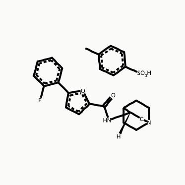 Cc1ccc(S(=O)(=O)O)cc1.O=C(N[C@H]1CN2CCC1CC2)c1ccc(-c2ccccc2F)o1